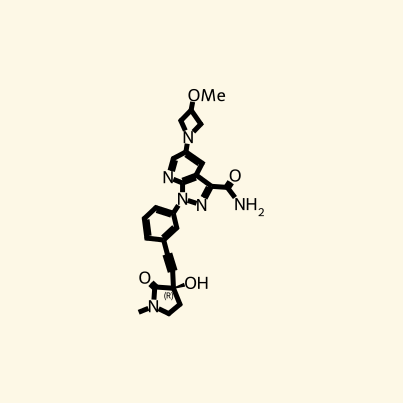 COC1CN(c2cnc3c(c2)c(C(N)=O)nn3-c2cccc(C#C[C@]3(O)CCN(C)C3=O)c2)C1